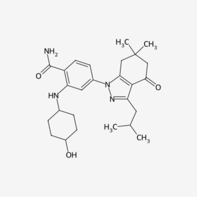 CC(C)Cc1nn(-c2ccc(C(N)=O)c(NC3CCC(O)CC3)c2)c2c1C(=O)CC(C)(C)C2